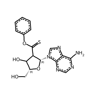 Nc1ncnc2c1ncn2[C@@H]1O[C@H](CO)C(O)C1C(=S)Oc1ccccc1